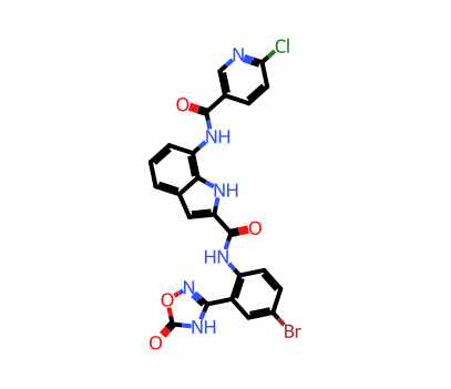 O=C(Nc1cccc2cc(C(=O)Nc3ccc(Br)cc3-c3noc(=O)[nH]3)[nH]c12)c1ccc(Cl)nc1